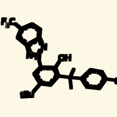 CC(C)(C)c1cc(-n2nc3ccc(C(F)(F)F)cc3n2)c(O)c(C(C)(C)c2ccc(Cl)cc2)c1